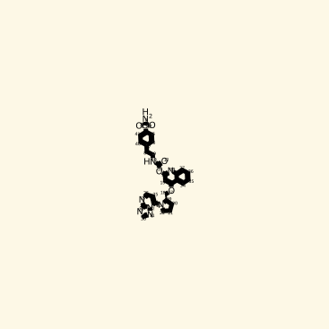 NS(=O)(=O)c1ccc(CCNC(=O)Oc2cc(OC[C@H]3CCCN3c3ccnc4ncnn34)c3ccccc3n2)cc1